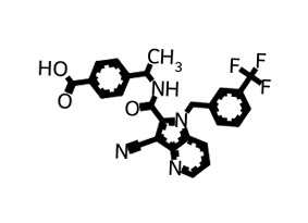 CC(NC(=O)c1c(C#N)c2ncccc2n1Cc1cccc(C(F)(F)F)c1)c1ccc(C(=O)O)cc1